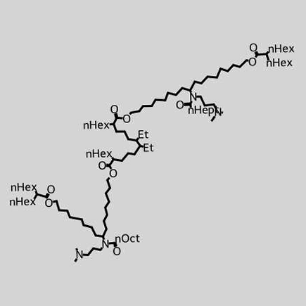 CCCCCCCCC(=O)N(CCCN(C)C)C(CCCCCCCCOC(=O)C(CCCCCC)CCCCCC)CCCCCCCCOC(=O)C(CCCCCC)CCCC(CC)C(CC)CCCC(CCCCCC)C(=O)OCCCCCCCCCC(CCCCCCCCCOC(=O)C(CCCCCC)CCCCCC)N(CCCN(C)C)C(=O)CCCCCCC